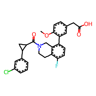 COc1ccc(CC(=O)O)cc1-c1ccc(F)c2c1CN(C(=O)C1CC1c1cccc(Cl)c1)CC2